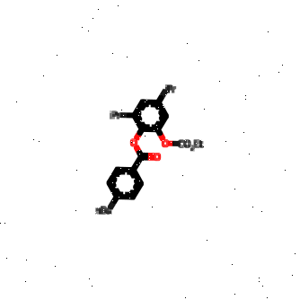 CCCCc1ccc(C(=O)Oc2c(OC(=O)OCC)cc(C(C)C)cc2C(C)C)cc1